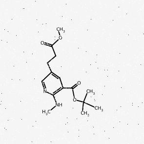 CNc1ncc(CCC(=O)OC)cc1C(=O)OC(C)(C)C